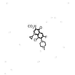 CN1CCN(c2c(F)cc3c(=O)c(C(=O)O)cn(C4CC4)c3c2Cl)CC1